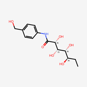 CC[C@@H](O)[C@@H](O)[C@H](O)[C@@H](O)C(=O)Nc1ccc(CO)cc1